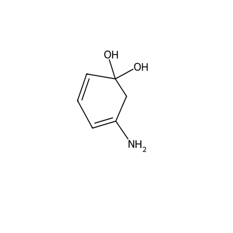 NC1=CC=CC(O)(O)C1